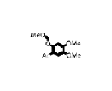 COCOc1cc(OC)c(OC)cc1C(C)=O